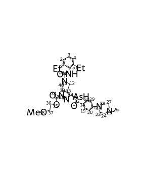 CCc1cccc(CC)c1NC(=O)N1Cc2c([AsH]C(=O)c3ccc(N4CCN(C)CC4)cc3)nn(C(=O)OCCOC)c2C1